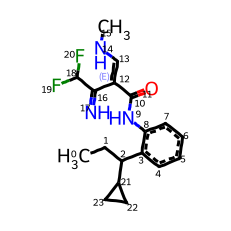 CCC(c1ccccc1NC(=O)/C(=C/NC)C(=N)C(F)F)C1CC1